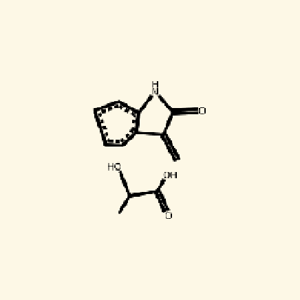 C=C1C(=O)Nc2ccccc21.CC(O)C(=O)O